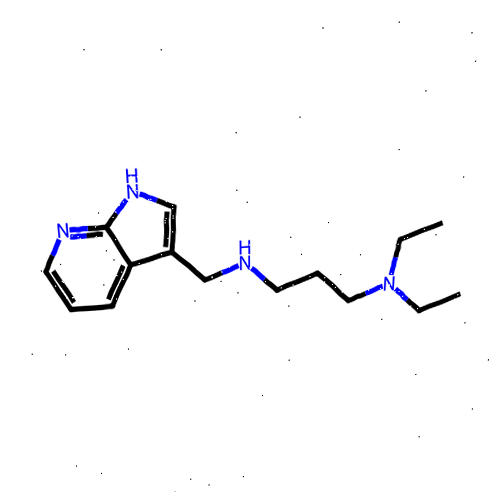 CCN(CC)CCCNCc1c[nH]c2ncccc12